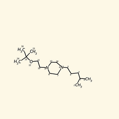 CC(C)CCCN1CCN(CCOC(C)(C)C)CC1